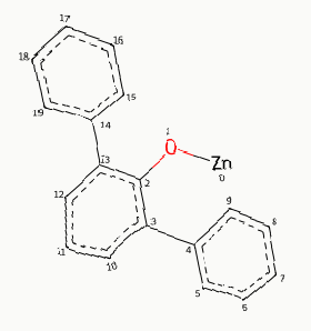 [Zn][O]c1c(-c2ccccc2)cccc1-c1ccccc1